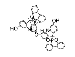 CC(c1ccc(Oc2ccc(C(C)(c3ccc(O)cc3N)P3(=O)Oc4ccccc4-c4ccccc43)cc2)cc1)(c1ccc(O)cc1N)P1(=O)Oc2ccccc2-c2ccccc21